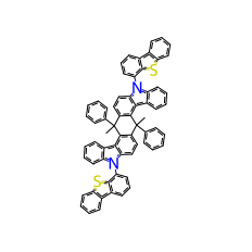 CC1(c2ccccc2)c2ccc3c(c2C(C)(c2ccccc2)c2ccc4c(c21)c1ccccc1n4-c1cccc2c1sc1ccccc12)c1ccccc1n3-c1cccc2c1sc1ccccc12